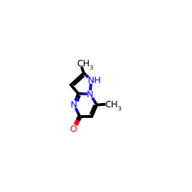 Cc1cc2nc(=O)cc(C)n2[nH]1